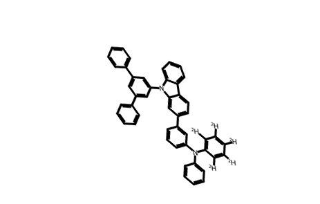 [2H]c1c([2H])c([2H])c(N(c2ccccc2)c2cccc(-c3ccc4c5ccccc5n(-c5cc(-c6ccccc6)cc(-c6ccccc6)c5)c4c3)c2)c([2H])c1[2H]